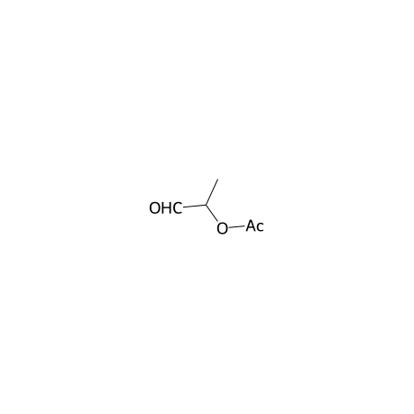 CC(=O)OC(C)C=O